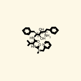 CC(C)[C@H](NC(=O)N(C)Cc1ccccn1)C(=O)N[C@@H](Cc1ccccc1)[C@H](O)[C@H](O)[C@@H](N)Cc1ccccc1